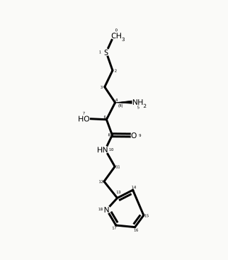 CSCC[C@@H](N)C(O)C(=O)NCCc1ccccn1